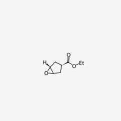 CCOC(=O)[C@H]1CC2O[C@@H]2C1